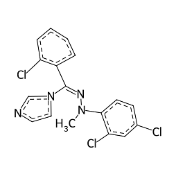 CN(N=C(c1ccccc1Cl)n1ccnc1)c1ccc(Cl)cc1Cl